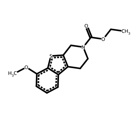 CCOC(=O)N1CCc2c(sc3c(OC)cccc23)C1